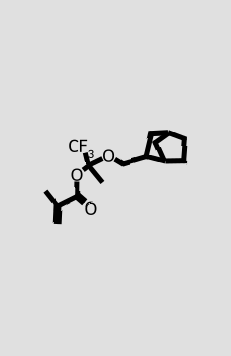 C=C(C)C(=O)OC(C)(OCC1CC2CCC1C2)C(F)(F)F